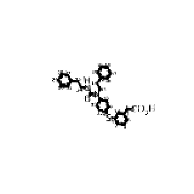 O=C(O)Cc1cccc(Sc2ccc(N(CCc3ccccc3)C(=O)NCCc3ccccc3)cc2)c1